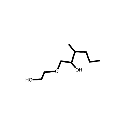 CCCC(C)C(O)COCCO